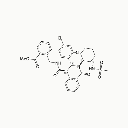 COC(=O)c1ccccc1CNC(=O)[C@@H]1c2ccccc2C(=O)N([C@H]2CCCC[C@@H]2NS(C)(=O)=O)[C@H]1c1ccc(Cl)cc1Cl